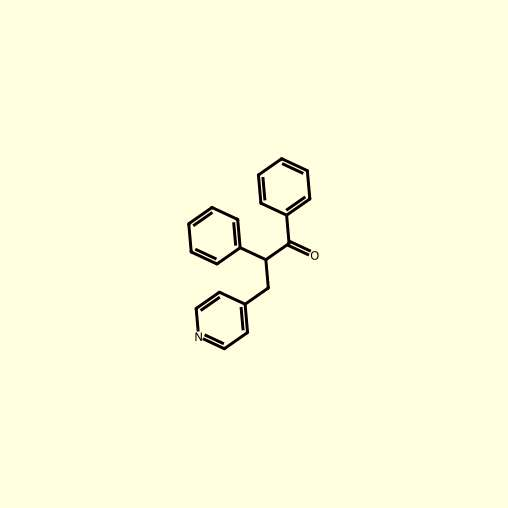 O=C(c1ccccc1)C(Cc1ccncc1)c1ccccc1